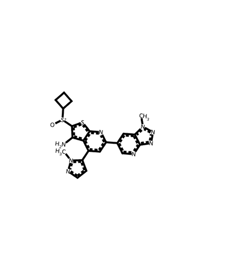 Cn1nccc1-c1cc(-c2cnc3nnn(C)c3c2)nc2sc([S+]([O-])C3CCC3)c(N)c12